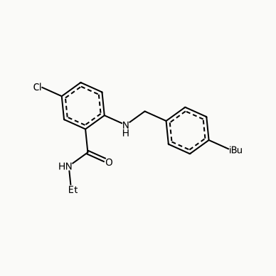 CCNC(=O)c1cc(Cl)ccc1NCc1ccc(C(C)CC)cc1